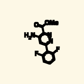 COC(=O)c1nnc(-c2c(F)cccc2F)cc1N